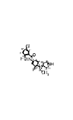 CCN(c1ccc(NC(=O)c2cc(Cl)ccc2O)cc1F)C1CCNCC1